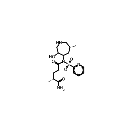 C[C@H]1CNC[C@H](O)[C@H](N(C(=O)[CH]C[C@@H](C)C(N)=O)S(=O)(=O)c2ccccn2)C1